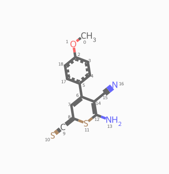 COc1ccc(C2=CC(=C=S)SC(N)=C2C#N)cc1